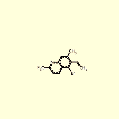 C=Cc1c(C)cc2nc(C(F)(F)F)ccc2c1Br